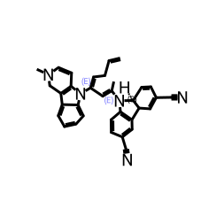 C=CC/C=C(\C=C(/C)N1c2ccc(C#N)cc2C2C=C(C#N)C=C[C@@H]21)n1c2c(c3ccccc31)CN(C)C=C2